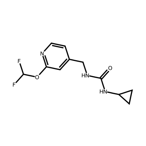 O=C(NCc1ccnc(OC(F)F)c1)NC1CC1